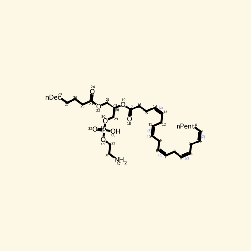 CCCCC/C=C\C/C=C\C/C=C\C/C=C\C/C=C\CCC(=O)O[C@H](COC(=O)CCCCCCCCCCCCC)COP(=O)(O)OCCN